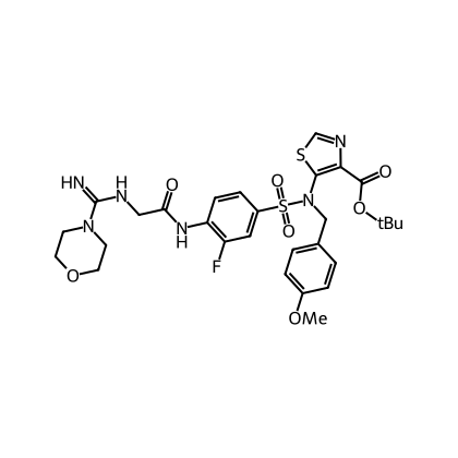 COc1ccc(CN(c2scnc2C(=O)OC(C)(C)C)S(=O)(=O)c2ccc(NC(=O)CNC(=N)N3CCOCC3)c(F)c2)cc1